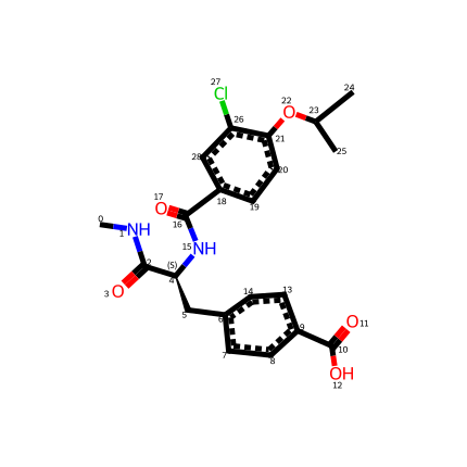 CNC(=O)[C@H](Cc1ccc(C(=O)O)cc1)NC(=O)c1ccc(OC(C)C)c(Cl)c1